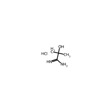 CC(C)(O)C(=N)N.Cl